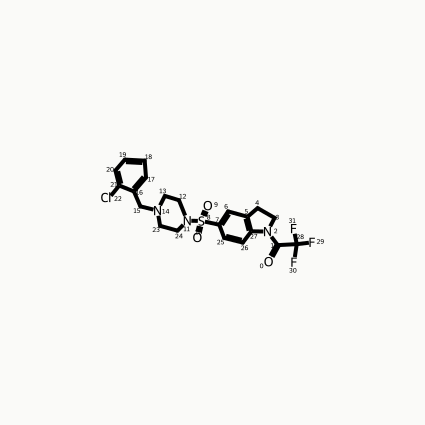 O=C(N1CCc2cc(S(=O)(=O)N3CCN(Cc4ccccc4Cl)CC3)ccc21)C(F)(F)F